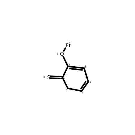 [CH2]COC1=CC=CCC1=S